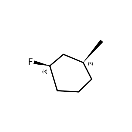 C[C@H]1CCC[C@@H](F)C1